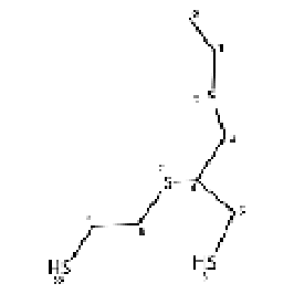 CCSCC(CS)SCCS